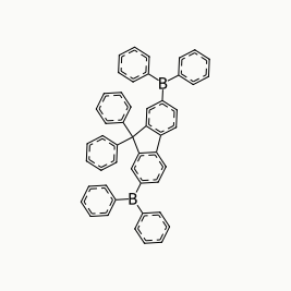 c1ccc(B(c2ccccc2)c2ccc3c(c2)C(c2ccccc2)(c2ccccc2)c2cc(B(c4ccccc4)c4ccccc4)ccc2-3)cc1